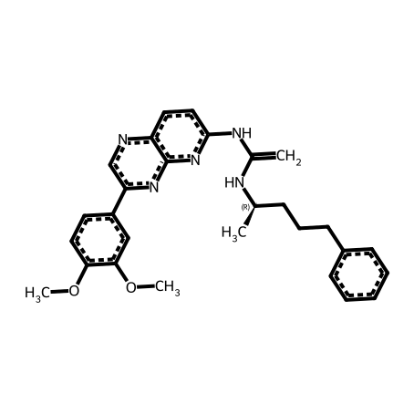 C=C(Nc1ccc2ncc(-c3ccc(OC)c(OC)c3)nc2n1)N[C@H](C)CCCc1ccccc1